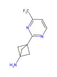 NC12CC(c3nccc(C(F)(F)F)n3)(C1)C2